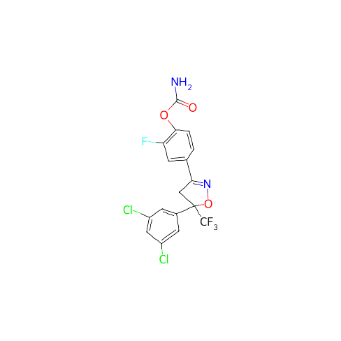 NC(=O)Oc1ccc(C2=NOC(c3cc(Cl)cc(Cl)c3)(C(F)(F)F)C2)cc1F